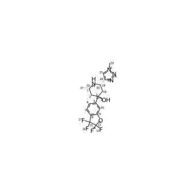 C[C@H]1C[C@@](O)(c2ccc3c(c2)OC(F)(F)C3(F)F)C[C@@H](c2cn(C)nn2)N1